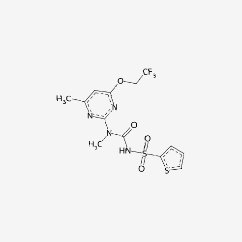 Cc1cc(OCC(F)(F)F)nc(N(C)C(=O)NS(=O)(=O)c2cccs2)n1